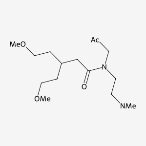 CNCCN(CC(C)=O)C(=O)CC(CCOC)CCOC